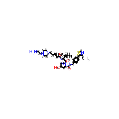 Cc1ncsc1-c1ccc(CNC(=O)[C@@H]2C[C@@H](O)CN2C(=O)[C@@H](NC(=O)CCCCN2CCN(CCN)CC2)C(C)(C)C)cc1